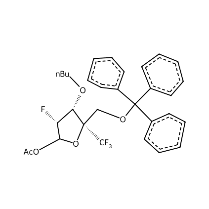 CCCCO[C@H]1[C@@H](F)C(OC(C)=O)O[C@@]1(COC(c1ccccc1)(c1ccccc1)c1ccccc1)C(F)(F)F